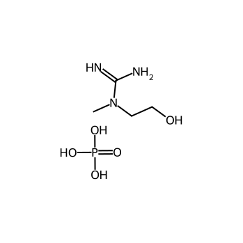 CN(CCO)C(=N)N.O=P(O)(O)O